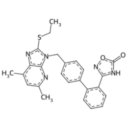 CCSc1nc2c(C)cc(C)nc2n1Cc1ccc(-c2ccccc2-c2noc(=O)[nH]2)cc1